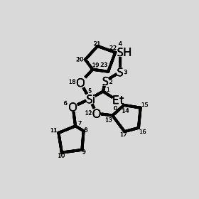 CCC(SSS)[Si](OC1CCCC1)(OC1CCCC1)OC1CCCC1